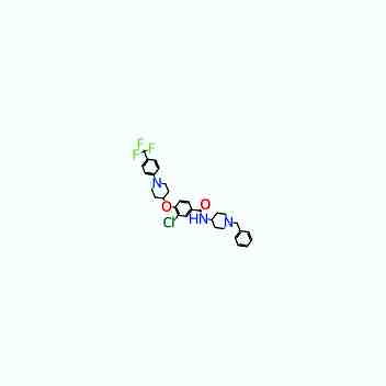 O=C(NC1CCN(Cc2ccccc2)CC1)c1ccc(OC2CCN(c3ccc(C(F)(F)F)cc3)CC2)c(Cl)c1